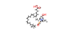 CCCCC/C=C\C/C=C\C/C=C\C/C=C\CCCC(=O)O.C[N+](C)(C#P=O)CCO